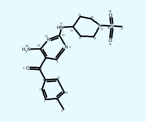 Cc1ccc(C(=O)c2cnc(NC3CCN(S(C)(=O)=O)CC3)nc2N)cc1